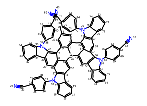 Cc1cc2c3c(c1)-c1c4c(cc5c6ccccc6n(-c6ccc(C#N)cc6)c5c4cc4c5ccccc5n(-c5ccc(C#N)cc5)c14)B3c1cc3c4ccccc4n(-c4ccc(C#N)cc4)c3c3cc4c5ccccc5n(-c5ccc(C#N)cc5)c4c-2c13